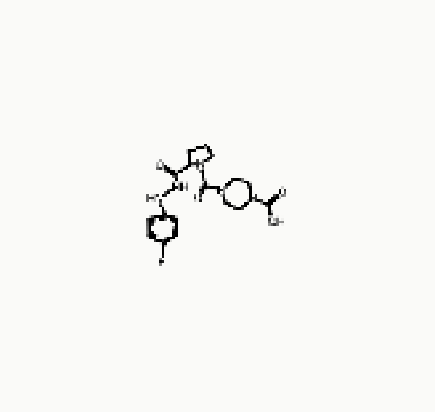 O=C(NNc1ccc(F)cc1)C1CCCN1C(=O)N1CCN(C(=O)O)CC1